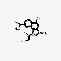 CC[C@@H](Cl)[C@@H]1CN(C)c2cc(O)c3ccc(C(C)C)cc3c21